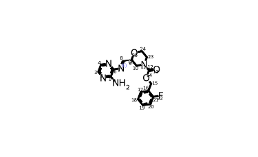 Nc1nccnc1/N=C/[C@@H]1CN(C(=O)OCc2ccccc2F)CCO1